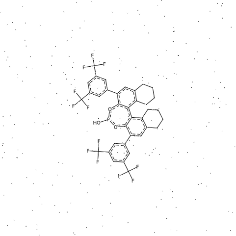 Op1oc2c(-c3cc(C(F)(F)F)cc(C(F)(F)F)c3)cc3c(c2c2c4c(cc(-c5cc(C(F)(F)F)cc(C(F)(F)F)c5)c2o1)CCCC4)CCCC3